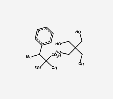 CC(C)(C)C(c1ccccc1)C(O)(C(=O)O)C(C)(C)C.OCC(CO)(CO)CO